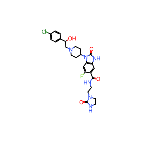 O=C(NCCN1CCNC1=O)c1cc2[nH]c(=O)n(C3CCN(CC(O)c4ccc(Cl)cc4)CC3)c2cc1F